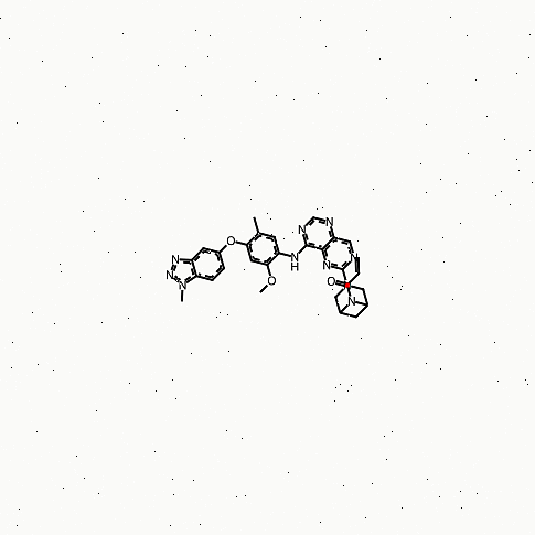 C=CC(=O)N1C2CC1CN(c1ncc3ncnc(Nc4cc(C)c(Oc5ccc6c(c5)nnn6C)cc4OC)c3n1)C2